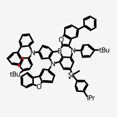 CC(C)c1ccc([Si](C)(C)c2cc3c4c(c2)N(c2ccc(C(C)(C)C)cc2)c2c(oc5ccc(-c6ccccc6)cc25)B4c2ccc(N(c4ccc(C(C)(C)C)cc4)c4ccccc4-c4ccccc4)cc2N3c2ccc3oc4ccccc4c3c2)cc1